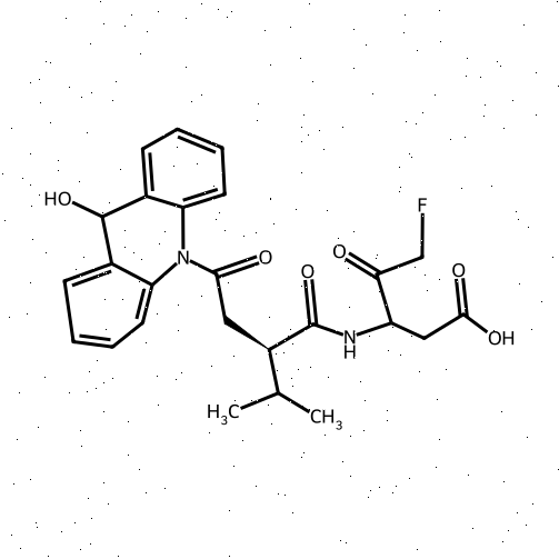 CC(C)[C@@H](CC(=O)N1c2ccccc2C(O)c2ccccc21)C(=O)NC(CC(=O)O)C(=O)CF